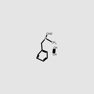 C#C.CN(C=O)Cc1ccccc1